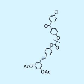 CC(=O)Oc1cc(/C=C/c2ccc(OC(=O)C(C)(C)Oc3ccc(C(=O)c4ccc(Cl)cc4)cc3)cc2)cc(OC(C)=O)c1